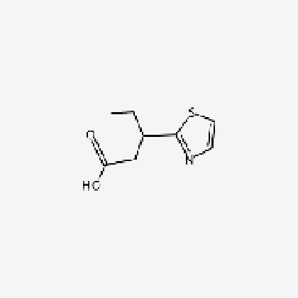 CCC(CC(=O)O)c1nccs1